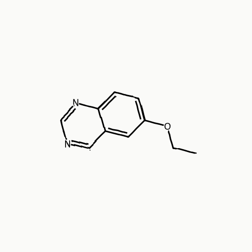 CCOc1ccc2ncn[c]c2c1